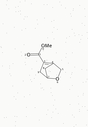 COC(=O)C1=C2COC(C2)C1